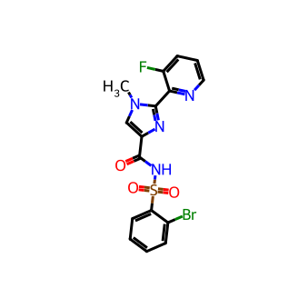 Cn1cc(C(=O)NS(=O)(=O)c2ccccc2Br)nc1-c1ncccc1F